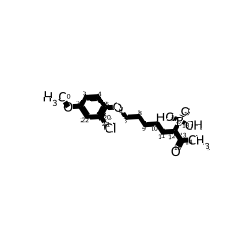 COc1ccc(OCCCCCC(C(C)=O)P(=O)(O)O)c(Cl)c1